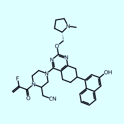 C=C(F)C(=O)N1CCN(c2nc(OC[C@@H]3CCCN3C)nc3c2CCC(c2cc(O)cc4ccccc24)C3)CC1CC#N